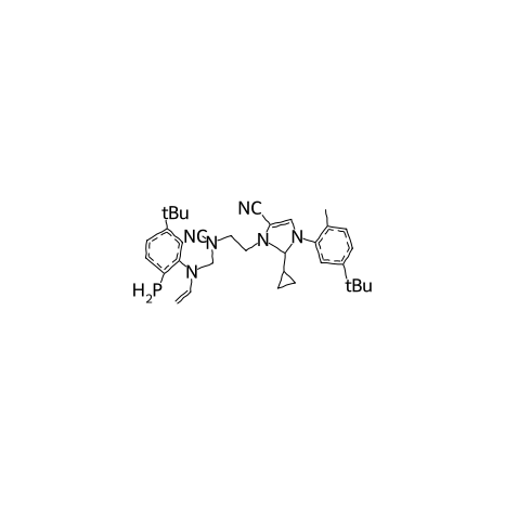 C=CN(CN(C#N)CCN1C(C#N)=CN(c2cc(C(C)(C)C)ccc2C)C1C1CC1)c1cc(C(C)(C)C)ccc1P